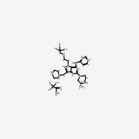 C[C@@H]1CN(c2nc(Nc3ccncn3)c3c(n2)c(CN2CCOCC2)nn3CCOCC(F)(F)F)CCN1.O=C(O)C(F)(F)F